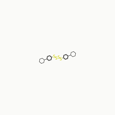 c1cc(C2CCCCC2)ccc1SSSSc1ccc(C2CCCCC2)cc1